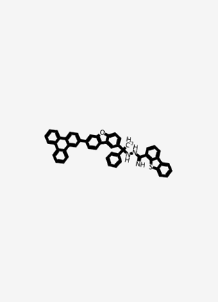 CC(NNC(=N)c1cccc2c1sc1ccccc12)(c1ccccc1)c1ccc2oc3cc(-c4ccc5c6ccccc6c6ccccc6c5c4)ccc3c2c1